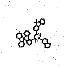 CC1(C)c2ccccc2-c2cc(-c3cc(-c4cccc5c4-c4ccccc4C54c5ccccc5-c5ccccc54)nc(-c4ccc5ccccc5c4)n3)ccc21